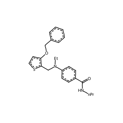 CCCNC(=O)c1ccc(N(CC)Cc2sccc2OCc2ccccc2)cc1